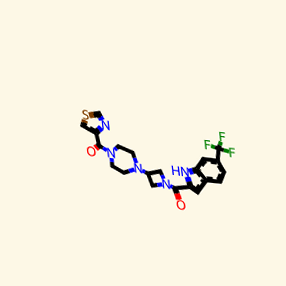 O=C(c1cscn1)N1CCN(C2CN(C(=O)c3cc4ccc(C(F)(F)F)cc4[nH]3)C2)CC1